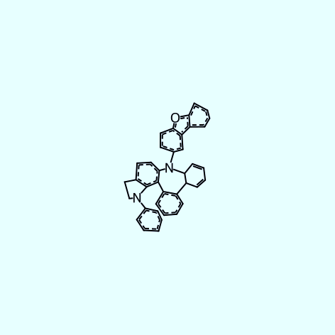 C1=CC2c3ccccc3-c3c(ccc4c3N(c3ccccc3)CC4)N(c3ccc4oc5ccccc5c4c3)C2C=C1